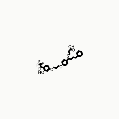 O=C(O)CCSC(CCCc1ccccc1)c1ccc(OCCCOc2ccc(C(=O)C(F)(F)F)c(O)c2)cc1